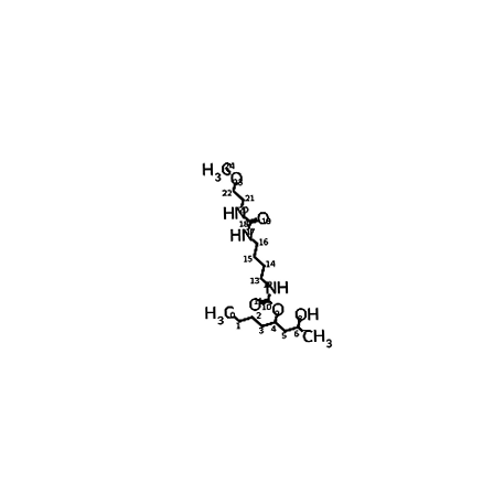 CCCCC(CC(C)O)OC(=O)NCCCCNC(=O)NCCOC